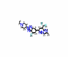 CCN1CCC(n2nc3cc(-c4cc(C(F)F)c5nc(C)cn5n4)cc(F)c3n2)CC1